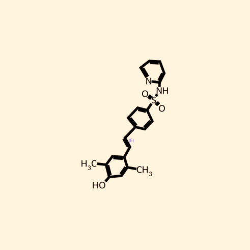 Cc1cc(/C=C/c2ccc(S(=O)(=O)Nc3ccccn3)cc2)c(C)cc1O